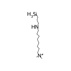 C[N+](C)(C)CCCCCCCCNCCC[SiH3]